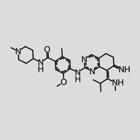 CN/C(=C1\C(=N)CCc2cnc(Nc3cc(C)c(C(=O)NC4CCN(C)CC4)cc3OC)nc21)C(C)C